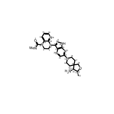 CNC(=O)N1CCN(c2n[nH]c3nc(N4CCC5(CC4)CO[C@@H](C)[C@H]5N)cnc23)c2ncccc21